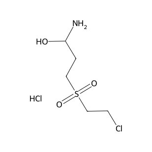 Cl.NC(O)CCS(=O)(=O)CCCl